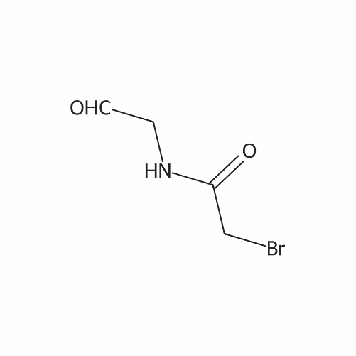 O=CCNC(=O)CBr